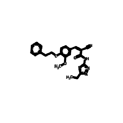 CCc1nnc(NC(=O)C(C#N)=Cc2ccc(OCCc3ccccc3)c(OC)c2)s1